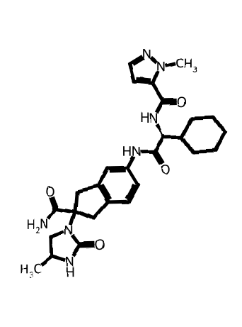 CC1CN(C2(C(N)=O)Cc3ccc(NC(=O)[C@@H](NC(=O)c4ccnn4C)C4CCCCC4)cc3C2)C(=O)N1